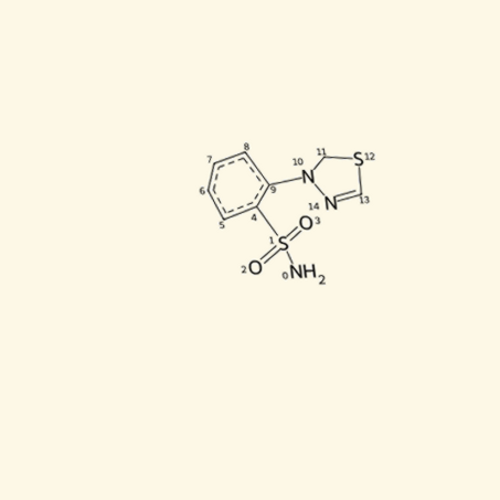 NS(=O)(=O)c1ccccc1N1CSC=N1